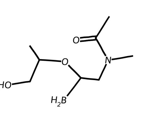 BC(CN(C)C(C)=O)OC(C)CO